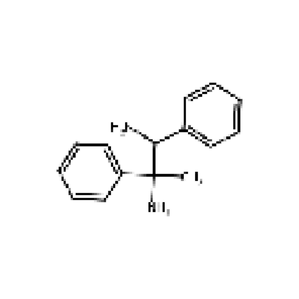 CC(N)(c1ccccc1)C(N)c1ccccc1